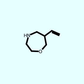 C=CC1CNCCOC1